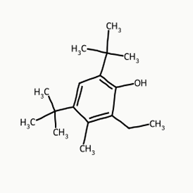 CCc1c(C)c(C(C)(C)C)cc(C(C)(C)C)c1O